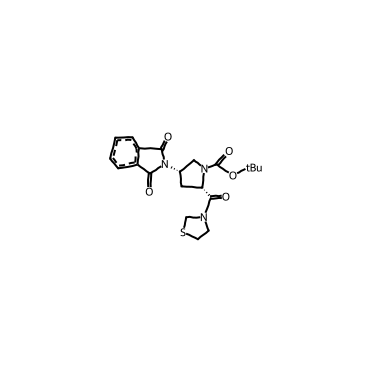 CC(C)(C)OC(=O)N1C[C@@H](N2C(=O)c3ccccc3C2=O)C[C@H]1C(=O)N1CCSC1